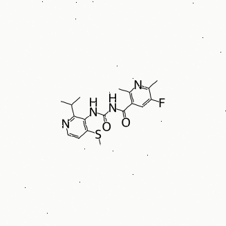 CSc1ccnc(C(C)C)c1NC(=O)NC(=O)c1cc(F)c(C)nc1C